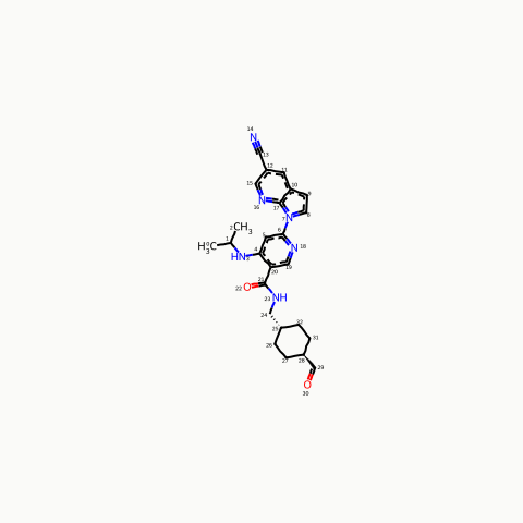 CC(C)Nc1cc(-n2ccc3cc(C#N)cnc32)ncc1C(=O)NC[C@H]1CC[C@H](C=O)CC1